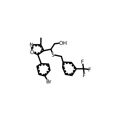 Cc1noc(-c2ccc(Br)cc2)c1C(CO)SCc1cccc(C(F)(F)F)c1